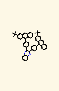 CC(C)(C)c1ccc2c(-c3ccc(-c4nc5ccccc5nc4-c4ccc(-c5c6ccccc6cc6cc(C(C)(C)C)ccc56)cc4)cc3)c3ccccc3cc2c1